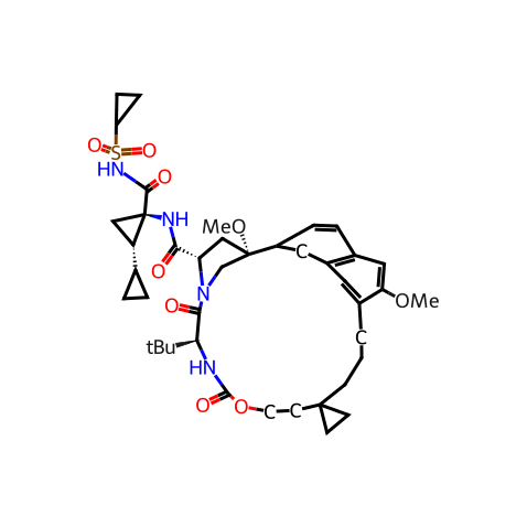 COc1cc2c3cc1CCCC1(CCOC(=O)N[C@@H](C(C)(C)C)C(=O)N4C[C@@](OC)(C[C@H]4C(=O)N[C@]4(C(=O)NS(=O)(=O)C5CC5)C[C@H]4C4CC4)C(C=C2)C3)CC1